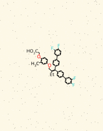 CCC(COc1ccc(OCC(=O)O)c(C)c1)=C(c1ccc(-c2ccc(F)c(F)c2)cc1)c1ccc(-c2ccc(F)c(F)c2)cc1